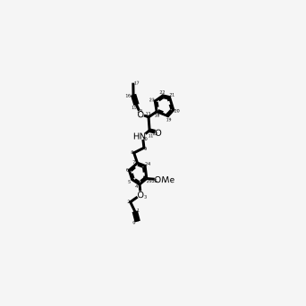 C#CCOc1ccc(CCNC(=O)C(OC#CC)c2ccccc2)cc1OC